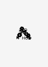 CN(C)c1ccc(-c2nc(C(=O)N3CCc4c(ccc(N(C)C)c4O)C3)c3ccccc3n2)cc1